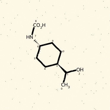 CC(O)[C@H]1CC[C@H](NC(=O)O)CC1